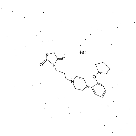 Cl.O=C1CSC(=O)N1CCCN1CCN(c2ccccc2OC2CCCC2)CC1